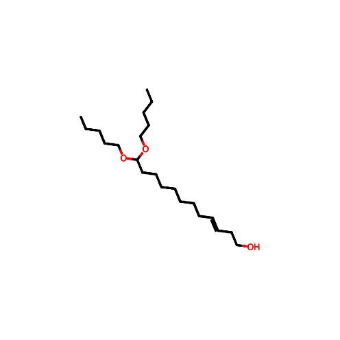 CCCCCOC(CCCCCCC/C=C/CCO)OCCCCC